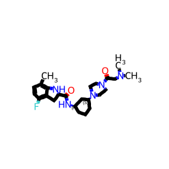 Cc1ccc(F)c2c1NC(C(=O)N[C@@H]1CCC[C@H](N3CCN(C(=O)CN(C)C)CC3)C1)C2